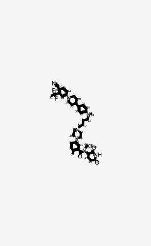 Cc1ccc(N2CCN(CCCCN(C)c3ccc(C4CCN(c5ccc(C#N)c(C(C)(F)F)c5)CC4)cc3)CC2)cc1C(=O)N(C=O)C1CCC(=O)NC1=O